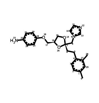 Cc1ccc(CC[C@]2(Cn3ccnc3)OC[C@H](COc3ccc(N)cc3)O2)c(C)c1